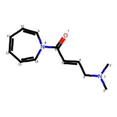 CN(C)CC=CC(=O)N1C=CC=CC=C1